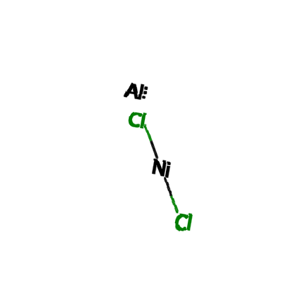 [Al].[Cl][Ni][Cl]